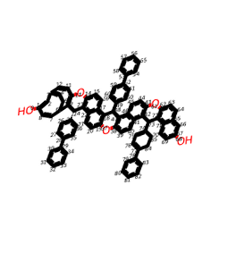 OC1=C\C2=CCC(/C=C\1)C1=C(/C=C\2)Oc2ccc3c4c(ccc3c2[C@@H]1c1ccc(-c2ccccc2)cc1)Oc1ccc2c3c(ccc2c1C4c1ccc(-c2ccccc2)cc1)Oc1ccc2cc(O)ccc2c1C3C1=CC=C(c2ccccc2)CC1